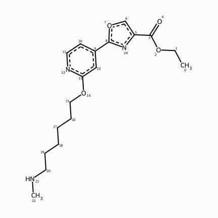 CCOC(=O)c1coc(-c2ccnc(OCCCCCCNC)c2)n1